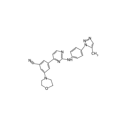 Cc1cnnn1-c1ccc(Nc2nccc(-c3cc(C#N)cc(N4CCOCC4)c3)n2)cc1